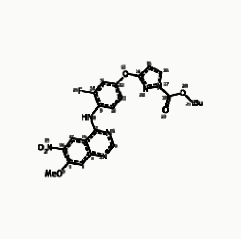 COc1cc2ncnc(Nc3ccc(Oc4ccn(C(=O)OC(C)(C)C)n4)cc3F)c2cc1[N+](=O)[O-]